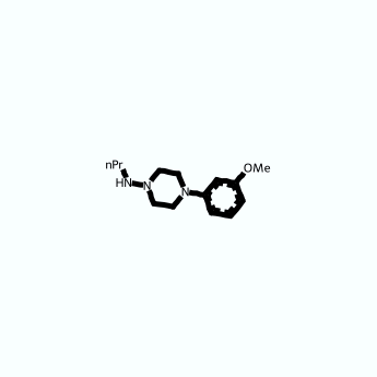 CCCNN1CCN(c2cccc(OC)c2)CC1